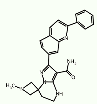 CN1CC2(CCNc3c(C(N)=O)c(-c4ccc5ccc(-c6ccccc6)nc5c4)nn32)C1